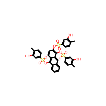 Cc1ccc(S(=O)(=O)Oc2ccc3c(OS(=O)(=O)c4ccc(C)c(O)c4)c4ccccc4cc3c2OS(=O)(=O)c2ccc(C)c(O)c2)cc1O